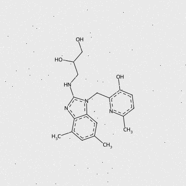 Cc1cc(C)c2nc(NCC(O)CO)n(Cc3nc(C)ccc3O)c2c1